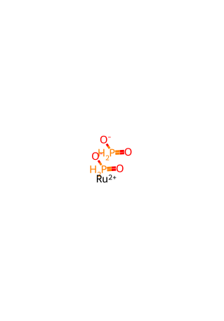 O=[PH2][O-].O=[PH2][O-].[Ru+2]